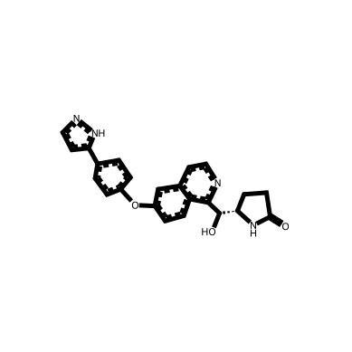 O=C1CC[C@@H](C(O)c2nccc3cc(Oc4ccc(-c5ccn[nH]5)cc4)ccc23)N1